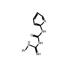 CC(C)NC(=N)NC(=O)Nc1ccccn1